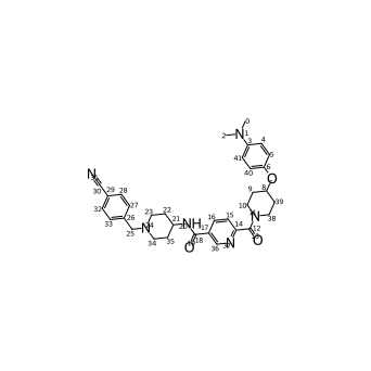 CN(C)c1ccc(OC2CCN(C(=O)c3ccc(C(=O)NC4CCN(Cc5ccc(C#N)cc5)CC4)cn3)CC2)cc1